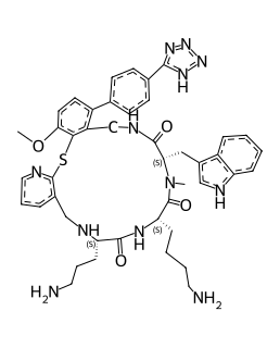 COc1ccc(-c2ccc(-c3nnn[nH]3)cc2)c2c1Sc1ncccc1CN[C@@H](CCCN)C(=O)N[C@@H](CCCCN)C(=O)N(C)[C@@H](Cc1c[nH]c3ccccc13)C(=O)NC2